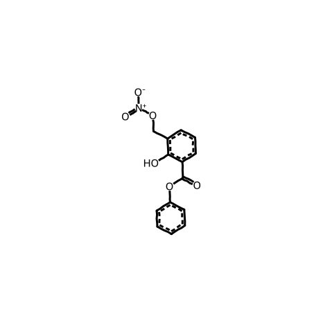 O=C(Oc1ccccc1)c1cccc(CO[N+](=O)[O-])c1O